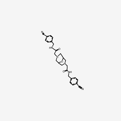 N#Cc1ccc(CNC(=O)CN2CC3CN(CC(=O)NCc4ccc(C#N)cc4)CC(C2)O3)cc1